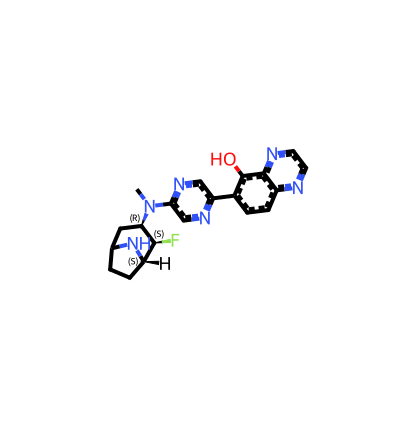 CN(c1cnc(-c2ccc3nccnc3c2O)cn1)[C@@H]1CC2CC[C@H](N2)[C@@H]1F